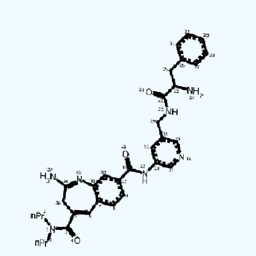 CCCN(CCC)C(=O)C1=Cc2ccc(C(=O)Nc3cncc(CNC(=O)C(N)Cc4ccccc4)c3)cc2N=C(N)C1